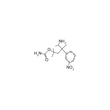 CC(N)C(C)(CC(C)(C)OC(N)=O)c1cccc([N+](=O)[O-])c1